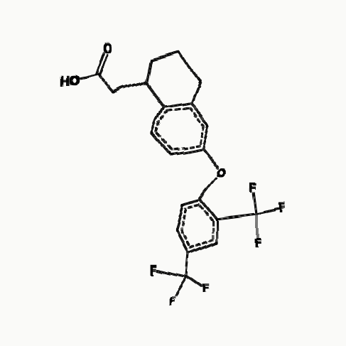 O=C(O)CC1CCCc2cc(Oc3ccc(C(F)(F)F)cc3C(F)(F)F)ccc21